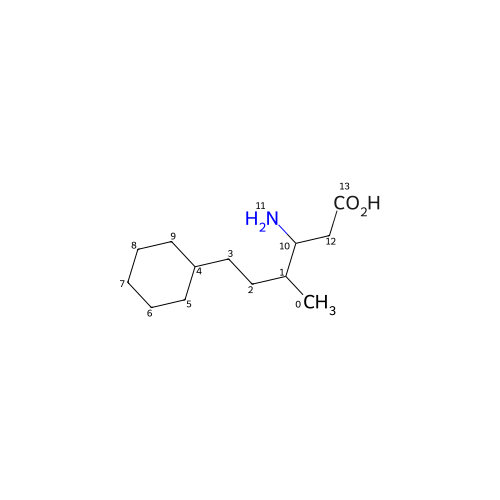 CC(CCC1CCCCC1)C(N)CC(=O)O